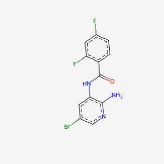 Nc1ncc(Br)cc1NC(=O)c1ccc(F)cc1F